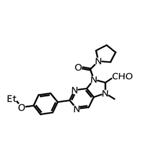 CCOc1ccc(-c2ncc3c(n2)N(C(=O)N2CCCC2)C(C=O)N3C)cc1